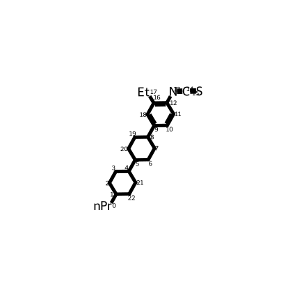 CCCC1CCC(C2CCC(c3ccc(N=C=S)c(CC)c3)CC2)CC1